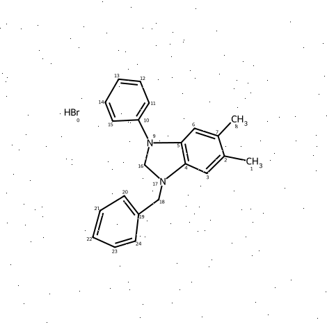 Br.Cc1cc2c(cc1C)N(c1ccccc1)CN2Cc1ccccc1